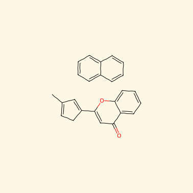 CC1=CCC(c2cc(=O)c3ccccc3o2)=C1.c1ccc2ccccc2c1